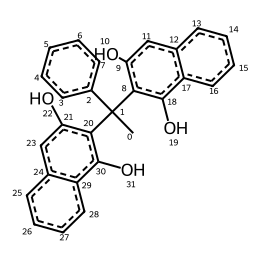 CC(c1ccccc1)(c1c(O)cc2ccccc2c1O)c1c(O)cc2ccccc2c1O